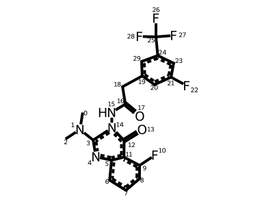 CN(C)c1nc2cccc(F)c2c(=O)n1NC(=O)Cc1cc(F)cc(C(F)(F)F)c1